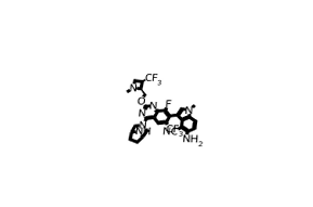 CN1C[C@@H](C(F)(F)F)[C@H]1COc1nc(N2CC3CCC(C2)N3)c2cc(C(F)(F)F)c(-c3cn(C)c4ccc(N)c(C#N)c34)c(F)c2n1